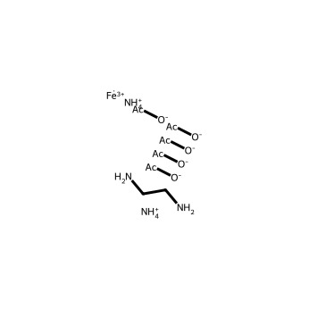 CC(=O)[O-].CC(=O)[O-].CC(=O)[O-].CC(=O)[O-].CC(=O)[O-].NCCN.[Fe+3].[NH4+].[NH4+]